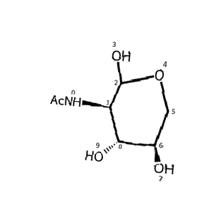 CC(=O)N[C@H]1C(O)OC[C@@H](O)[C@@H]1O